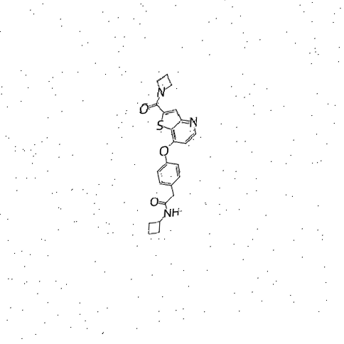 O=C(Cc1ccc(Oc2ccnc3cc(C(=O)N4CCC4)sc23)cc1)NC1CCC1